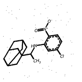 CC(Nc1cc(Cl)ccc1[N+](=O)[O-])C12CC3CC(CC(C3)C1)C2